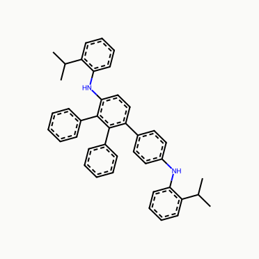 CC(C)c1ccccc1Nc1ccc(-c2ccc(Nc3ccccc3C(C)C)c(-c3ccccc3)c2-c2ccccc2)cc1